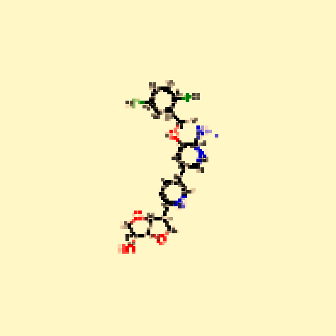 CC(Oc1cc(-c2ccc(C3COC4C3OC[C@H]4O)nc2)cnc1N)c1cc(F)ccc1F